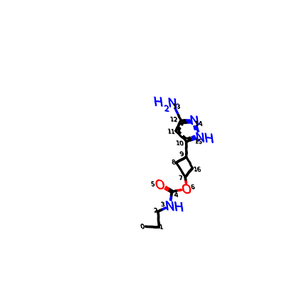 CCCNC(=O)OC1CC(c2cc(N)n[nH]2)C1